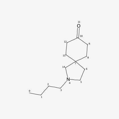 CCCCN1CCC2(CCC(=O)CC2)C1